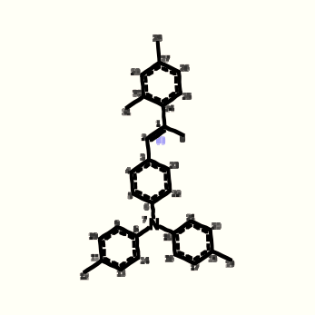 C/C(=C\c1ccc(N(c2ccc(C)cc2)c2ccc(C)cc2)cc1)c1ccc(C)cc1C